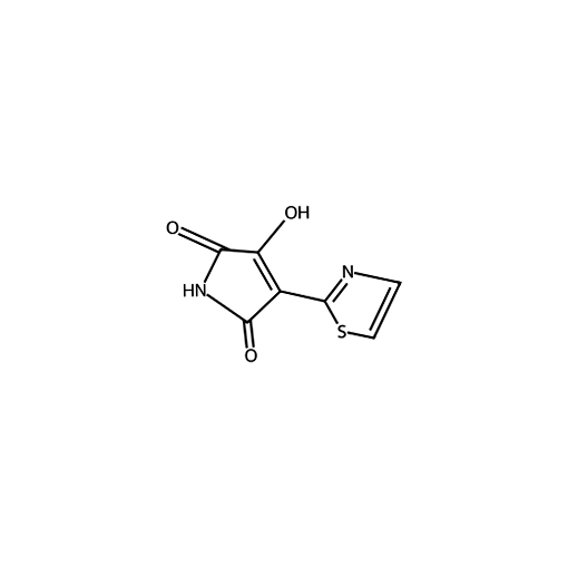 O=C1NC(=O)C(c2nccs2)=C1O